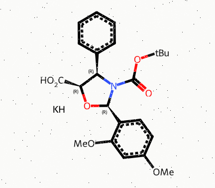 COc1ccc([C@H]2O[C@@H](C(=O)O)[C@@H](c3ccccc3)N2C(=O)OC(C)(C)C)c(OC)c1.[KH]